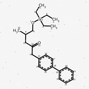 CC[Si](CC)(CC)OCC(C)CC(=O)Cc1ccc(-c2ccccc2)cc1